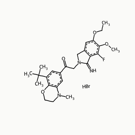 Br.CCOc1cc2c(c(F)c1OC)C(=N)N(CC(=O)c1cc3c(c(C(C)(C)C)c1)OCCN3C)C2